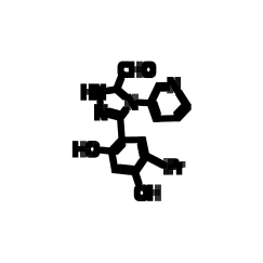 CC(C)c1cc(C2=NNC(C=O)N2c2cccnc2)c(O)cc1O